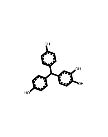 Oc1ccc(C(c2ccc(O)cc2)c2ccc(O)c(O)c2)cc1